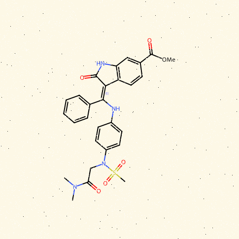 COC(=O)c1ccc2c(c1)NC(=O)/C2=C(/Nc1ccc(N(CC(=O)N(C)C)S(C)(=O)=O)cc1)c1ccccc1